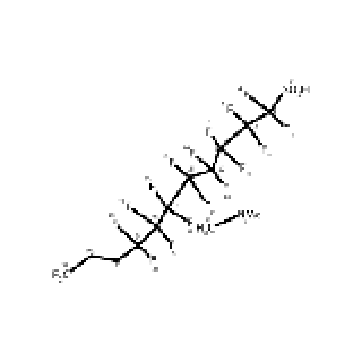 CNC.O=S(=O)(O)C(F)(F)C(F)(F)C(F)(F)C(F)(F)C(F)(F)C(F)(F)C(F)(F)C(F)(F)CCC(F)(F)F